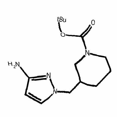 CC(C)(C)OC(=O)N1CCCC(Cn2ccc(N)n2)C1